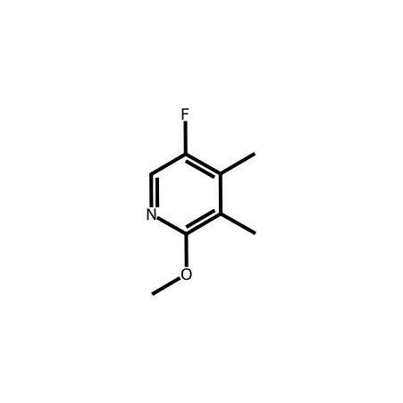 COc1ncc(F)c(C)c1C